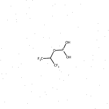 OP(O)OC(C(F)(F)F)C(F)(F)F